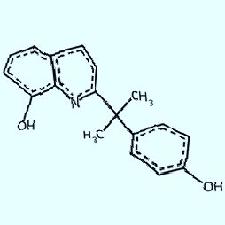 CC(C)(c1ccc(O)cc1)c1ccc2cccc(O)c2n1